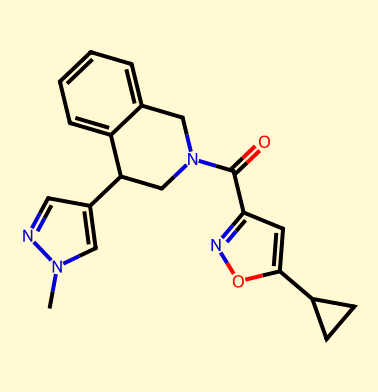 Cn1cc(C2CN(C(=O)c3cc(C4CC4)on3)Cc3ccccc32)cn1